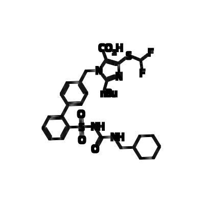 CCCCc1nc(SC(F)F)c(C(=O)O)n1Cc1ccc(-c2ccccc2S(=O)(=O)NC(=O)NCC2CCCCC2)cc1